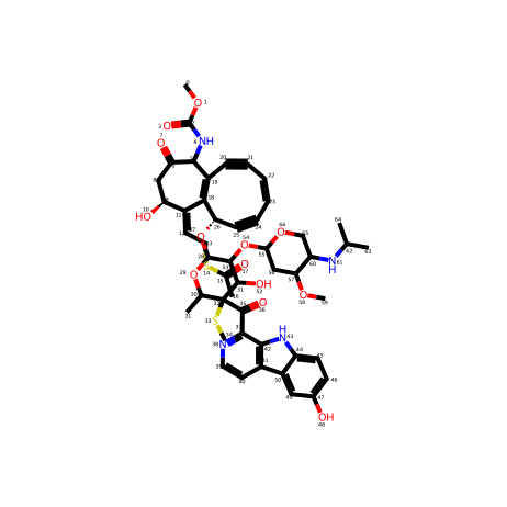 COC(=O)NC1C(=O)C[C@H](O)/C(=C/CSC(C)=O)C2=C1C#C/C=C\C#C[C@@H]2OC1OC(C)C(SC)(C(=O)c2nccc3c2[nH]c2ccc(O)cc23)C(O)C1OC1CC(OC)C(NC(C)C)CO1